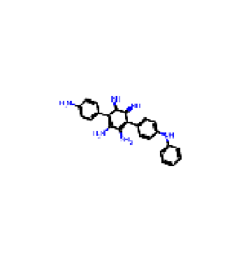 N=C1C(=N)C(c2ccc(Nc3ccccc3)cc2)=C(N)C(N)=C1c1ccc(N)cc1